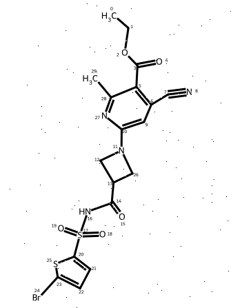 CCOC(=O)c1c(C#N)cc(N2CC(C(=O)NS(=O)(=O)c3ccc(Br)s3)C2)nc1C